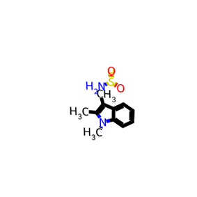 Cc1c(C)n(C)c2ccccc12.N[SH](=O)=O